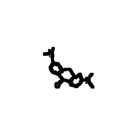 CN(C)c1ccc2c(c1)Cc1cc(N(C)C)ccc1C2=O